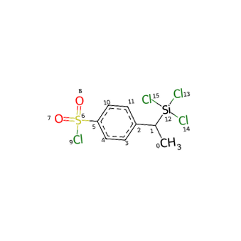 CC(c1ccc(S(=O)(=O)Cl)cc1)[Si](Cl)(Cl)Cl